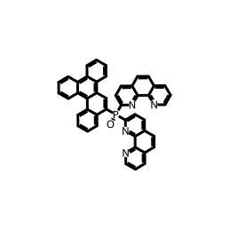 O=P(c1ccc2ccc3cccnc3c2n1)(c1ccc2ccc3cccnc3c2n1)c1cc2c3ccccc3c3ccccc3c2c2ccccc12